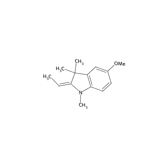 CC=C1N(C)c2ccc(OC)cc2C1(C)C